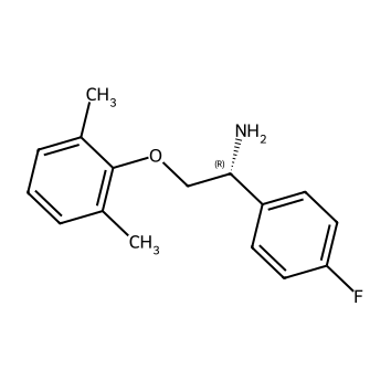 Cc1cccc(C)c1OC[C@H](N)c1ccc(F)cc1